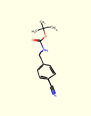 CC(C)(C)OC(=O)NCc1ccc(C#N)cc1